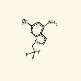 Nc1cc(Br)cc2c1ccn2CC(F)(F)F